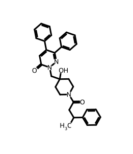 CC(CC(=O)N1CCC(O)(Cn2nc(-c3ccccc3)c(-c3ccccc3)cc2=O)CC1)c1ccccc1